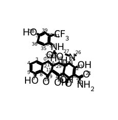 C[C@H]1c2cccc(O)c2C(=O)C2=C(O)[C@]3(O)C(=O)C(C(N)=O)=C(O)[C@@H](N(C)C)[C@@H]3[C@@H](OC(=O)Nc3ccc(O)cc3C(F)(F)F)[C@@H]21